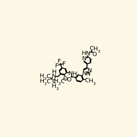 COc1c(CNC(C)(C)C)cc(C(F)(F)F)cc1NC(=O)c1ccc(C)c(-n2cc(-c3ccc(NC(C)=O)nc3)nn2)c1